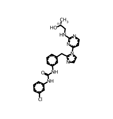 C[C@H](O)CNc1nccc(-n2ccnc2Cc2cccc(NC(=O)Nc3cccc(Cl)c3)c2)n1